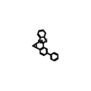 C1=CCC2SC3=[N+](C2=C1)C1CC1c1ccc(-c2ccccc2)cc13